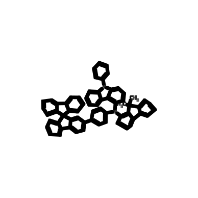 CC1(C)c2ccccc2-c2cccc(N(c3ccc(-c4ccc5c(c4)C4(c6ccccc6-c6ccccc64)c4ccccc4-5)cc3)c3cccc4c3c3ccccc3n4-c3ccccc3)c21